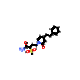 CS(=O)(=O)C(CCn1ccc(CCc2ccccc2)cc1=O)C(N)=O